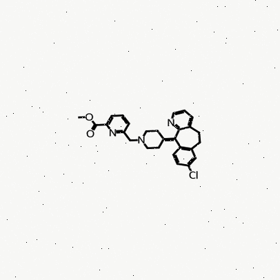 COC(=O)c1cccc(CN2CCC(=C3c4ccc(Cl)cc4CCc4cccnc43)CC2)n1